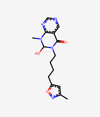 Cc1cc(CCCCN2C(=O)c3cncnc3N(C)C2O)on1